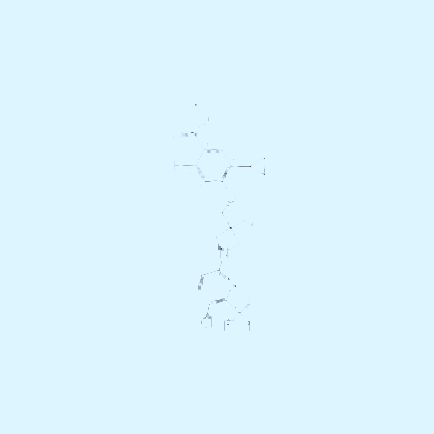 COC(=O)c1cc(C2CC2)c(OCC2(C)CN(c3ccc(Cl)c(C(F)(F)F)n3)C2)cc1F